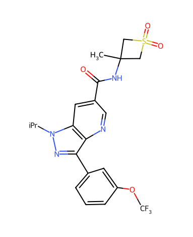 CC(C)n1nc(-c2cccc(OC(F)(F)F)c2)c2ncc(C(=O)NC3(C)CS(=O)(=O)C3)cc21